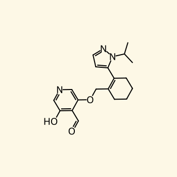 CC(C)n1nccc1C1=C(COc2cncc(O)c2C=O)CCCC1